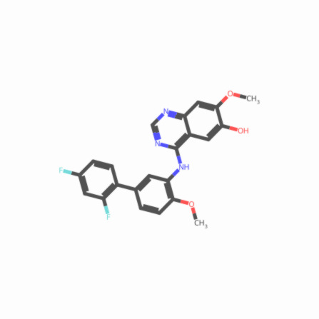 COc1cc2ncnc(Nc3cc(-c4ccc(F)cc4F)ccc3OC)c2cc1O